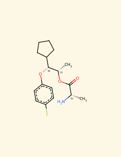 C[C@H](N)C(=O)O[C@@H](C)[C@H](Oc1ccc(F)cc1)C1CCCC1